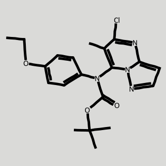 CCOc1ccc(N(C(=O)OC(C)(C)C)c2c(C)c(Cl)nc3ccnn23)cc1